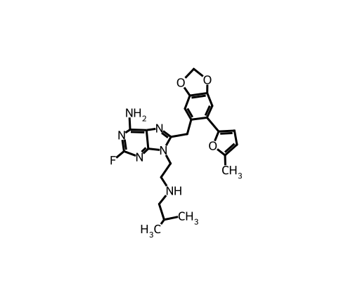 Cc1ccc(-c2cc3c(cc2Cc2nc4c(N)nc(F)nc4n2CCNCC(C)C)OCO3)o1